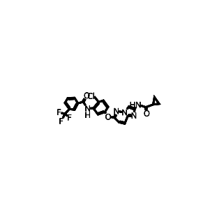 O=C(Nc1cc(Oc2ccc3nc(NC(=O)C4CC4)cn3n2)ccc1Cl)c1cccc(C(F)(F)F)c1